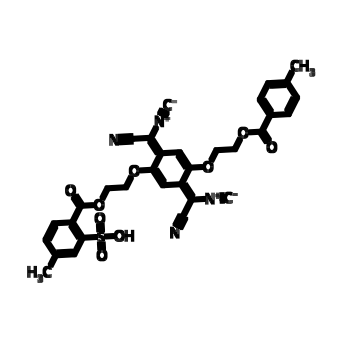 [C-]#[N+]/C(C#N)=c1/cc(OCCOC(=O)c2ccc(C)cc2S(=O)(=O)O)/c(=C(\C#N)[N+]#[C-])cc1OCCOC(=O)c1ccc(C)cc1